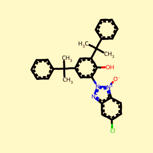 CC(C)(c1ccccc1)c1cc(-n2nc3cc(Cl)ccc3[n+]2[O-])c(O)c(C(C)(C)c2ccccc2)c1